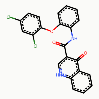 O=C(Nc1ccccc1Oc1ccc(Cl)cc1Cl)c1c[nH]c2ccccc2c1=O